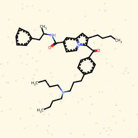 CCCCc1cc2cc(C(=O)NC(C)Cc3ccccc3)ccn2c1C(=O)c1ccc(CCCN(CCCC)CCCC)cc1